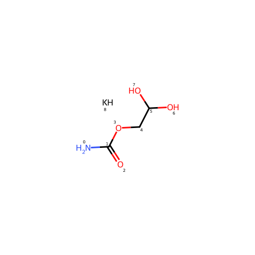 NC(=O)OCC(O)O.[KH]